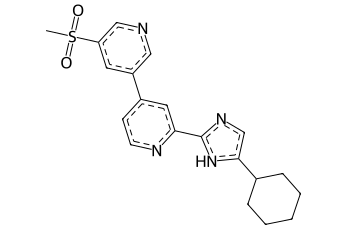 CS(=O)(=O)c1cncc(-c2ccnc(-c3ncc(C4CCCCC4)[nH]3)c2)c1